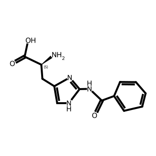 N[C@@H](Cc1c[nH]c(NC(=O)c2ccccc2)n1)C(=O)O